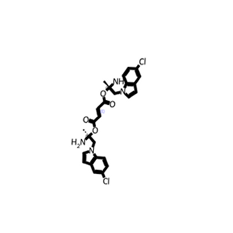 C[C@@](N)(Cn1ccc2cc(Cl)ccc21)OC(=O)/C=C/C(=O)O[C@](C)(N)Cn1ccc2cc(Cl)ccc21